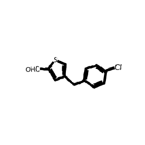 O=Cc1cc(Cc2ccc(Cl)cc2)cs1